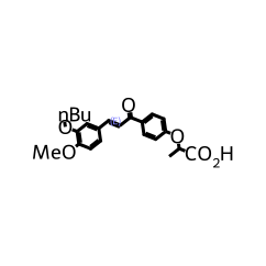 CCCCOc1cc(/C=C/C(=O)c2ccc(OC(C)C(=O)O)cc2)ccc1OC